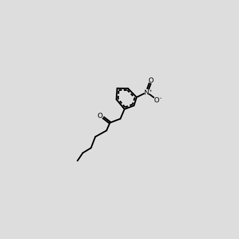 CCCCCC(=O)Cc1cccc([N+](=O)[O-])c1